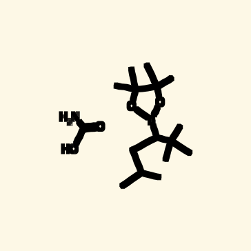 CC(C)CC(B1OC(C)(C)C(C)(C)O1)C(C)(C)C.NC(=O)O